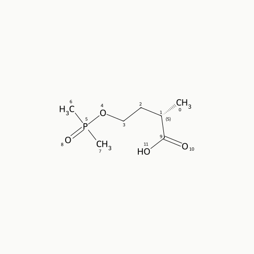 C[C@@H](CCOP(C)(C)=O)C(=O)O